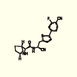 N#Cc1ccc(-c2ccc(C[C@@H](C#N)NC(=O)[C@H]3N[C@@H]4CC[C@H]3C4)s2)cc1F